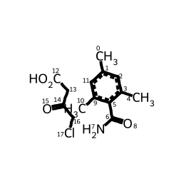 Cc1cc(C)c(C(N)=O)c(C)c1.O=C(O)CC(=O)CCl